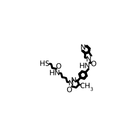 CC1CC(=O)N(CCCCNC(=O)CCS)N=C1c1ccc(CNC(=O)N2Cc3ccncc3C2)cc1